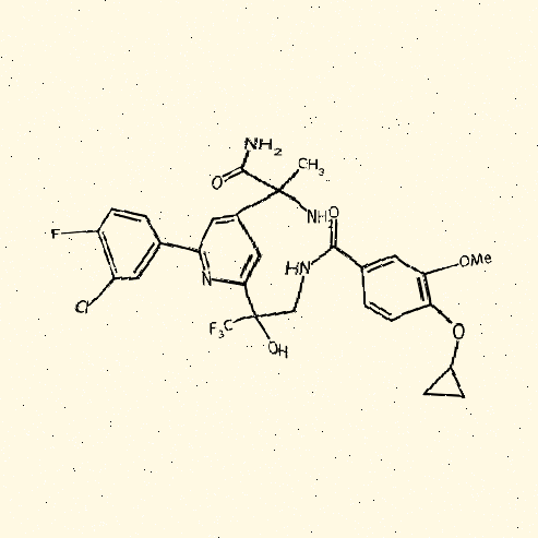 COc1cc(C(=O)NCC(O)(c2cc(C(C)(N)C(N)=O)cc(-c3ccc(F)c(Cl)c3)n2)C(F)(F)F)ccc1OC1CC1